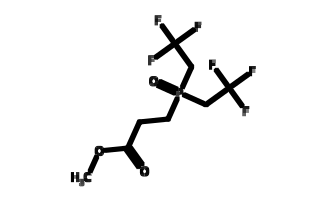 COC(=O)CCP(=O)(CC(F)(F)F)CC(F)(F)F